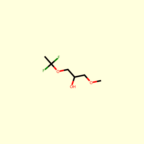 COCC(O)COC(C)(F)F